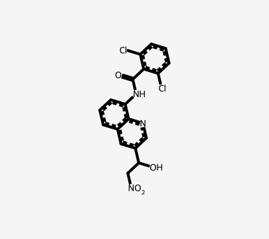 O=C(Nc1cccc2cc(C(O)C[N+](=O)[O-])cnc12)c1c(Cl)cccc1Cl